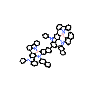 c1ccc(-n2c3ccccc3c3c4c5c(cc32)-c2cccc3c6ccccc6n(c23)B5c2cc3cc(-c5ccc6c7c8c9c(cc7n(-c7ccccc7)c6c5)-c5cccc6c7ccccc7n(c56)B9c5c(ccc6ccccc56)N8c5ccc6ccccc6c5)ccc3cc2N4c2ccc3ccccc3c2)cc1